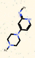 CC(=O)N1CCN(c2cc[nH]/c(=N\C(C)C)c2)CC1